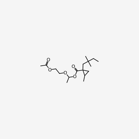 CCC(C)(C)CC1(C(=O)OC(C)OCCOC(C)=O)CC1C